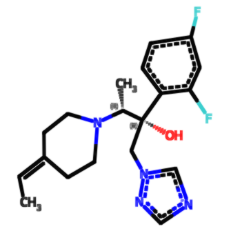 CC=C1CCN([C@H](C)[C@](O)(Cn2cncn2)c2ccc(F)cc2F)CC1